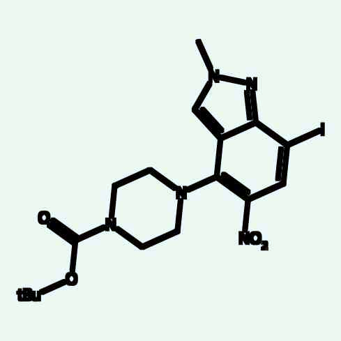 Cn1cc2c(N3CCN(C(=O)OC(C)(C)C)CC3)c([N+](=O)[O-])cc(I)c2n1